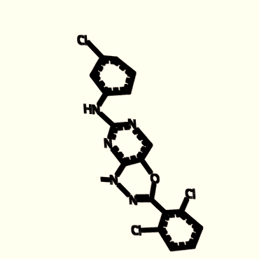 CN1N=C(c2c(Cl)cccc2Cl)Oc2cnc(Nc3cccc(Cl)c3)nc21